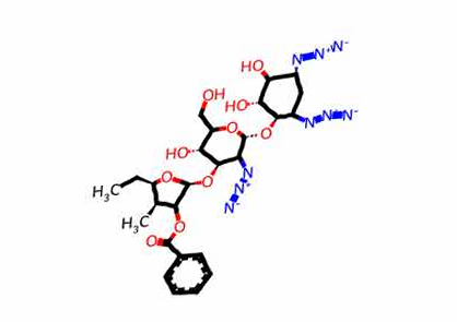 CC[C@H]1O[C@@H](O[C@@H]2C(N=[N+]=[N-])[C@@H](O[C@@H]3C(N=[N+]=[N-])C[C@@H](N=[N+]=[N-])C(O)[C@H]3O)OC(CO)[C@H]2O)C(OC(=O)c2ccccc2)[C@H]1C